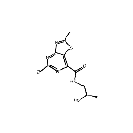 Cc1nc2nc(Cl)nc(C(=O)NC[C@@H](C)O)c2s1